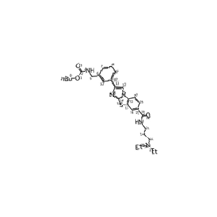 CCCCOC(=O)NCc1cccc(-c2cn3c(n2)sc2cc(C(=O)NCCCN(CC)CC)ccc23)c1